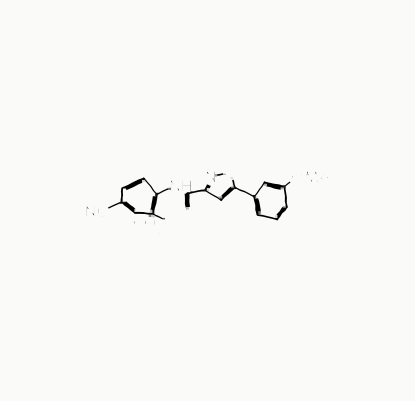 COc1cccc(-c2cc(C(=O)Nc3ccc(C#N)cc3C(=O)O)no2)c1